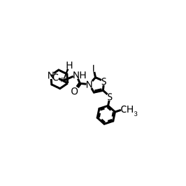 Cc1ccccc1SC1=CN(C(=O)N[C@H]2CN3CCC2CC3)C(I)S1